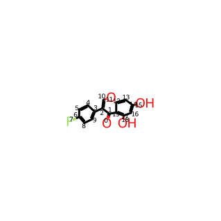 O=c1c(-c2ccc(F)cc2)coc2cc(O)cc(O)c12